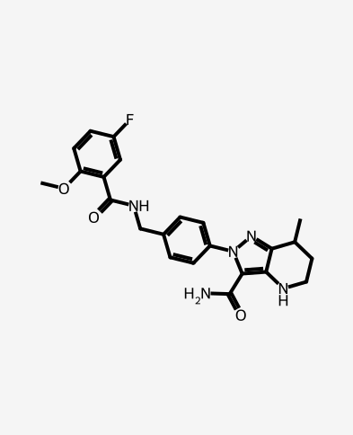 COc1ccc(F)cc1C(=O)NCc1ccc(-n2nc3c(c2C(N)=O)NCCC3C)cc1